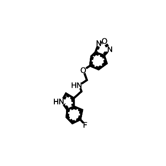 Fc1ccc2[nH]cc(CNCOc3ccc4nonc4c3)c2c1